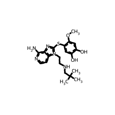 COc1cc(O)c(O)cc1Sc1nc2c(N)nccc2n1CCNCC(C)(C)C